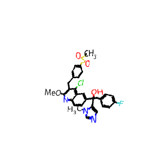 COc1nc2ccc(C(O)(c3ccc(F)cc3)c3cncn3C)cc2c(Cl)c1Cc1ccc(S(C)(=O)=O)cc1